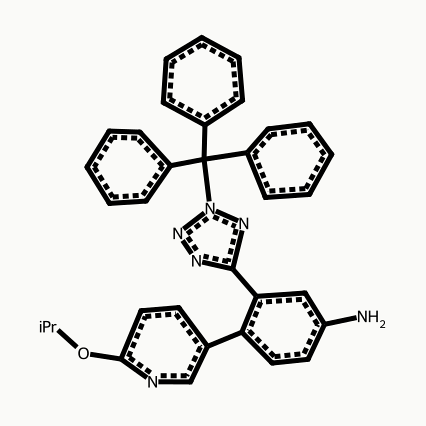 CC(C)Oc1ccc(-c2ccc(N)cc2-c2nnn(C(c3ccccc3)(c3ccccc3)c3ccccc3)n2)cn1